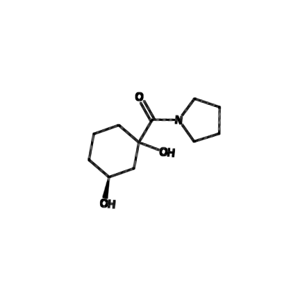 O=C(N1CCCC1)C1(O)CCC[C@H](O)C1